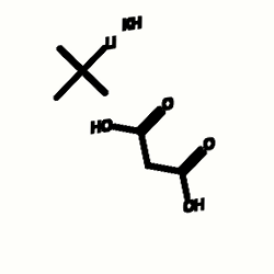 O=C(O)CC(=O)O.[KH].[Li][C](C)(C)C